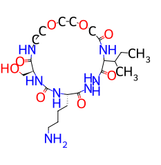 CCC(C)C1NC(=O)COCCOCCNC(=O)[C@H](CO)NC(=O)N[C@@H](CCCCN)C(=O)NNC1=O